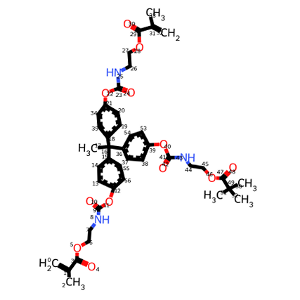 C=C(C)C(=O)OCCNC(=O)Oc1ccc(C(C)(c2ccc(OC(=O)NCCOC(=O)C(=C)C)cc2)c2ccc(OC(=O)NCCOC(=O)C(C)(C)C)cc2)cc1